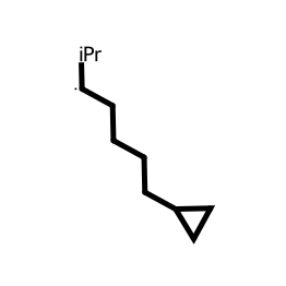 CC(C)[CH]CCCCC1CC1